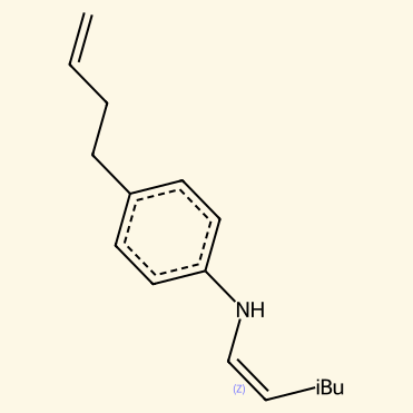 C=CCCc1ccc(N/C=C\C(C)CC)cc1